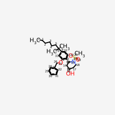 CCCCCCC(C)(C)c1ccc([C@H]2C[C@@H](O)CCN2S(C)(=O)=O)c(OCc2ccccc2)c1